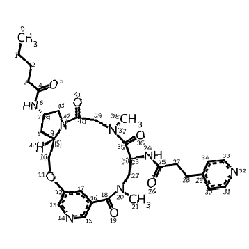 CCCCC(=O)N[C@H]1C[C@H]2COc3cncc(c3)C(=O)N(C)C[C@H](NC(=O)CCc3ccncc3)C(=O)N(C)CC(=O)N2C1